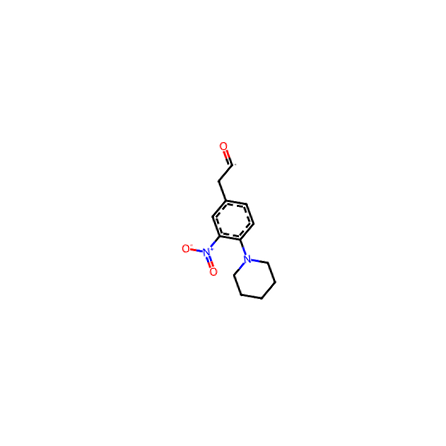 O=[C]Cc1ccc(N2CCCCC2)c([N+](=O)[O-])c1